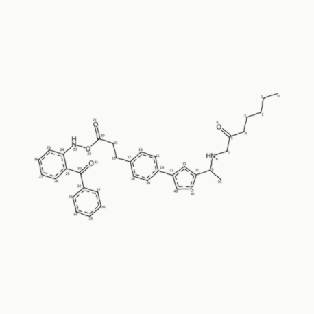 CCCCCC(=O)CNC(C)c1cc(-c2ccc(CCC(=O)ONc3ccccc3C(=O)c3ccccc3)cc2)cs1